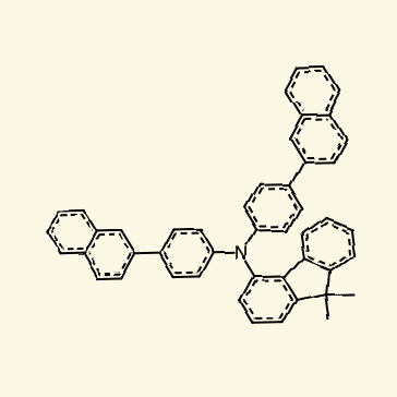 CC1(C)c2ccccc2-c2c(N(c3ccc(-c4ccc5ccccc5c4)cc3)c3ccc(-c4ccc5ccccc5c4)cc3)cccc21